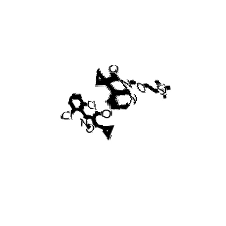 C[Si](C)(C)CCOCN1C(=O)C2(CC2)c2cc(OCc3c(-c4c(Cl)cccc4Cl)noc3C3CC3)cnc21